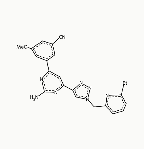 CCc1cccc(Cn2cc(-c3cc(-c4cc(C#N)cc(OC)c4)nc(N)n3)nn2)n1